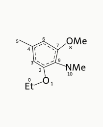 CCOc1cc(C)cc(OC)c1NC